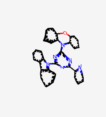 c1ccc(-c2nc(N3c4ccccc4Oc4ccccc43)nc(-n3c4ccccc4c4ccccc43)n2)nc1